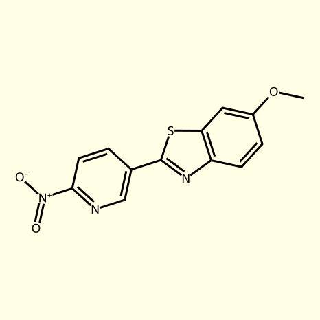 COc1ccc2nc(-c3ccc([N+](=O)[O-])nc3)sc2c1